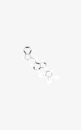 C[C@H]1O[C@@H](n2cnc3c(NC4CCc5ccccc54)ncnc32)[C@H](O)[C@@H]1O